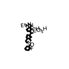 CCn1nnc2c(C)c(C(CC(=O)O)c3ccc4c(c3)CN(C(=O)c3ccccc3F)CC4)ccc21